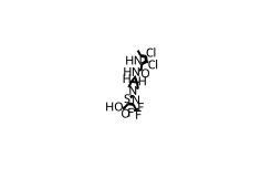 Cc1[nH]c(C(=O)N[C@H]2[C@@H]3CN(c4nc(C(F)(F)F)c(C(=O)O)s4)C[C@@H]32)c(Cl)c1Cl